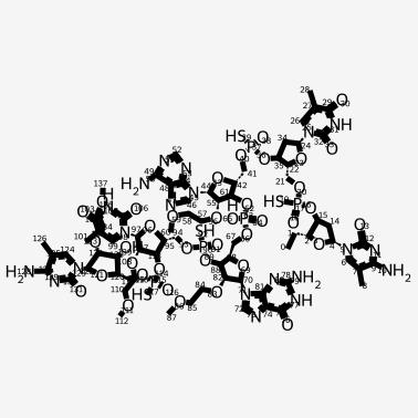 CC[C@H]1O[C@@H](n2cc(C)c(N)nc2=O)CC1OP(=O)(S)OC[C@H]1O[C@@H](n2cc(C)c(=O)[nH]c2=O)CC1OP(=O)(S)OC[C@H]1O[C@@H](n2cnc3c(N)ncnc32)[C@@H](OCCOC)C1OP(=O)(O)OC[C@H]1O[C@@H](n2cnc3c(=O)[nH]c(N)nc32)[C@@H](OCCOC)C1OP(=O)(S)OC[C@H]1O[C@@H](n2cc(C)c(=O)[nH]c2=O)[C@@H](OCCOC)C1OP(=O)(S)OC[C@H]1O[C@@H](n2cc(C)c(N)nc2=O)[C@@H](OCCOC)C1O